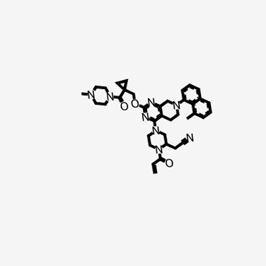 C=CC(=O)N1CCN(c2nc(OCC3(C(=O)N4CCN(C)CC4)CC3)nc3c2CCN(c2cccc4cccc(C)c24)C3)CC1CC#N